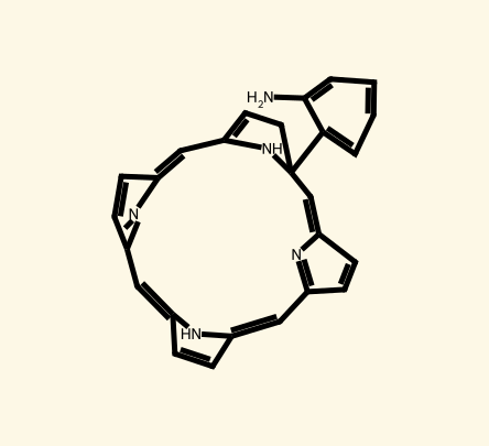 Nc1ccccc1C12C=C3C=CC(=N3)C=c3ccc([nH]3)=CC3=NC(=CC(=CC1)N2)C=C3